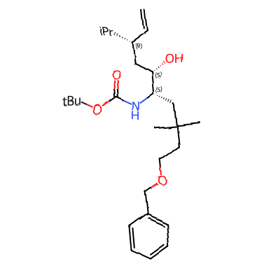 C=C[C@H](C[C@H](O)[C@H](CC(C)(C)CCOCc1ccccc1)NC(=O)OC(C)(C)C)C(C)C